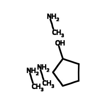 CN.CN.CN.OC1CCCC1